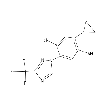 FC(F)(F)c1ncn(-c2cc(S)c(C3CC3)cc2Cl)n1